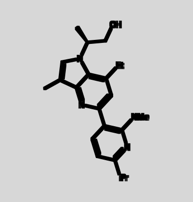 CCc1cc(-c2ccc(C(C)C)nc2NC)nc2c(C)cn([C@@H](C)CO)c12